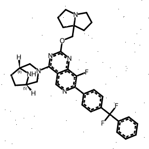 Fc1c(-c2ccc(C(F)(F)c3ccccc3)cc2)ncc2c(N3C[C@H]4CC[C@@H](C3)N4)nc(OCC34CCCN3CCC4)nc12